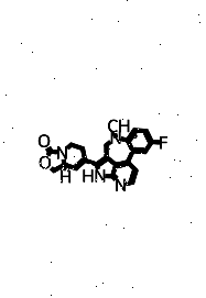 CN1Cc2c(C3=C[C@H]4COC(=O)N4CC3)[nH]c3nccc(c23)-c2cc(F)ccc21